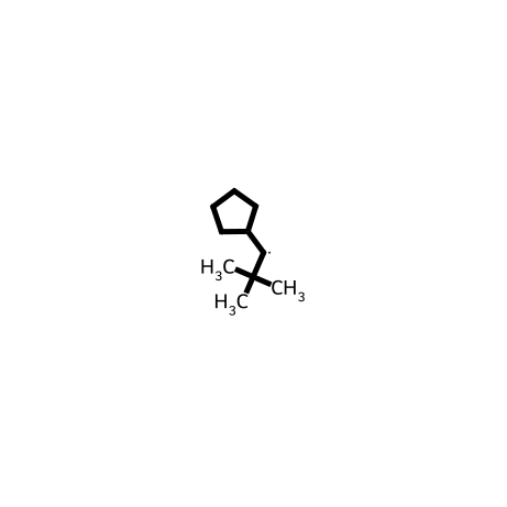 CC(C)(C)[CH]C1CCCC1